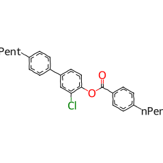 CCCCCc1ccc(C(=O)Oc2ccc(-c3ccc(CCCCC)cc3)cc2Cl)cc1